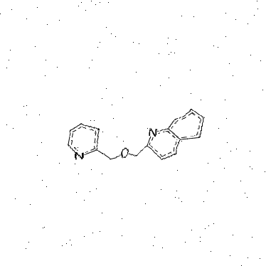 c1ccc(COCc2ccc3ccccc3n2)nc1